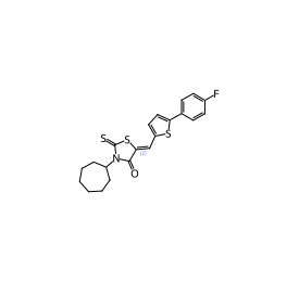 O=C1/C(=C/c2ccc(-c3ccc(F)cc3)s2)SC(=S)N1C1CCCCCC1